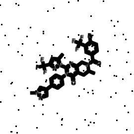 Cc1cc(C(F)(F)F)nn1-c1nc2c(c(=O)n1-c1ccc(-c3cnn(C)c3)cc1)CC(C)N(C(=O)c1ccc(Br)c(C(F)(F)F)c1)C2